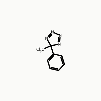 ClC(Cl)(Cl)C1(c2ccccc2)N=NN=N1